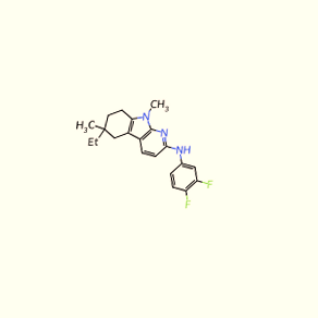 CCC1(C)CCc2c(c3ccc(Nc4ccc(F)c(F)c4)nc3n2C)C1